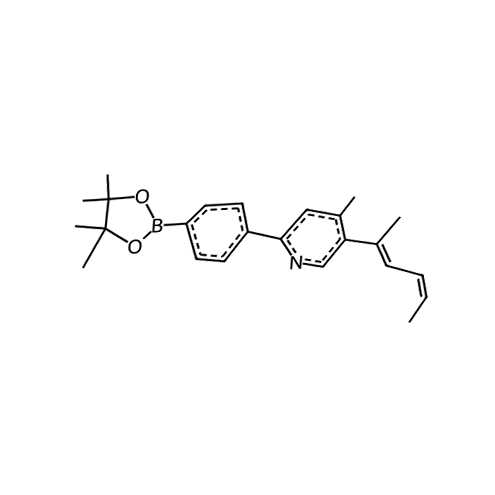 C/C=C\C=C(/C)c1cnc(-c2ccc(B3OC(C)(C)C(C)(C)O3)cc2)cc1C